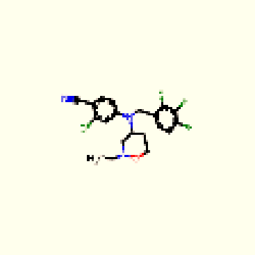 CCN1C[C@@H](N(Cc2ccc(F)c(F)c2F)c2ccc(C#N)c(Cl)c2)CCO1